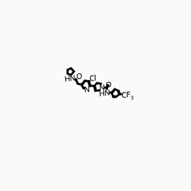 O=C(Cc1cnc(C2=CCN(C(=O)Nc3ccc(C(F)(F)F)cc3)CC2)c(Cl)c1)NC1CCCC1